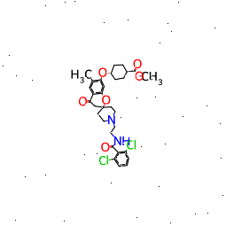 COC(=O)[C@H]1CC[C@H](Oc2cc3c(cc2C)C(=O)CC2(CCN(CCNC(=O)c4c(Cl)cccc4Cl)CC2)O3)CC1